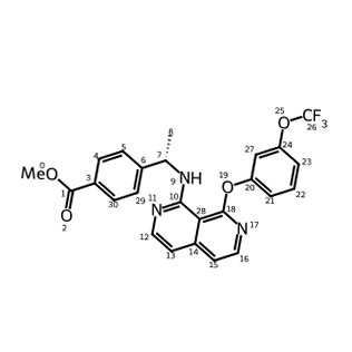 COC(=O)c1ccc([C@H](C)Nc2nccc3ccnc(Oc4cccc(OC(F)(F)F)c4)c23)cc1